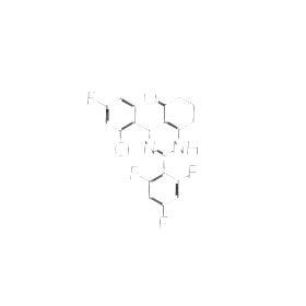 O=C1CCCC2=C1C(c1ccc(F)cc1Cl)N=C(c1c(F)cc(F)cc1F)N2